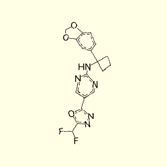 FC(F)c1nnc(-c2cnc(NC3(c4ccc5c(c4)OCO5)CCC3)nc2)o1